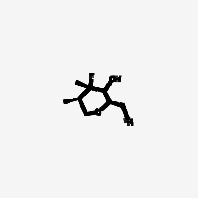 [2H]C[C@H]1OC[C@@H](C)[C@](C)(F)C1O